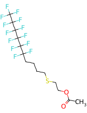 CC(=O)OCCSCCCCC(F)(F)C(F)(F)C(F)(F)C(F)(F)C(F)(F)C(F)(F)F